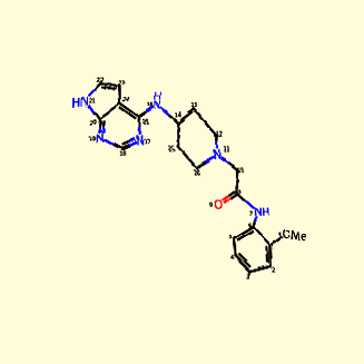 COc1ccccc1NC(=O)CN1CCC(Nc2ncnc3[nH]ccc23)CC1